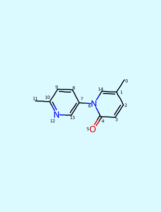 Cc1ccc(=O)n(-c2ccc(C)nc2)c1